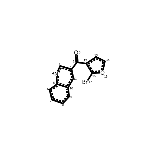 O=C(c1cnc2ccccc2c1)c1ccoc1Br